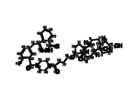 C[C@]12CC[C@@H](O)C[C@@H]1CC[C@@H]1[C@@H]2CC[C@]2(C)[C@@H](OCCCC(=O)N3CCN(C(=O)c4cc(Cc5n[nH]c(=O)c6ccccc56)ccc4F)CC3)CC[C@@H]12